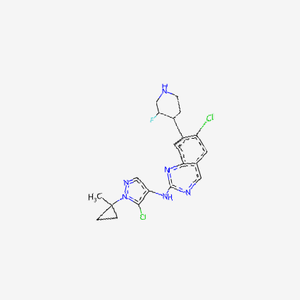 CC1(n2ncc(Nc3ncc4cc(Cl)c(C5CCNCC5F)cc4n3)c2Cl)CC1